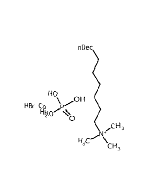 Br.CCCCCCCCCCCCCCCC[N+](C)(C)C.O=P(O)(O)O.[CaH2]